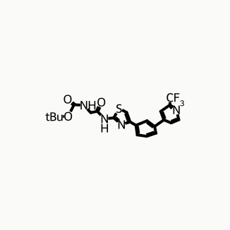 CC(C)(C)OC(=O)NCC(=O)Nc1nc(-c2cccc(-c3ccnc(C(F)(F)F)c3)c2)cs1